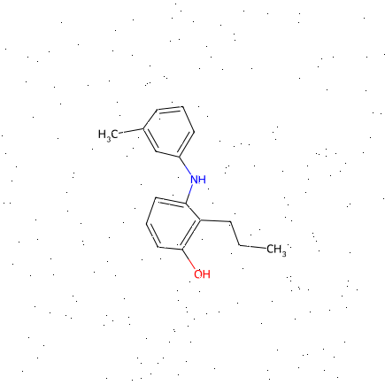 CCCc1c(O)cccc1Nc1cccc(C)c1